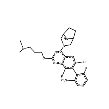 CN(C)CCCOc1nc(N2CC3CCC(C2)N3)c2cc(Cl)c(-c3c(N)cccc3F)c(F)c2n1